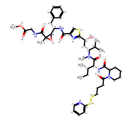 CC[C@H](C)[C@@H](NC(=O)C1CCCCN1C(=O)CCCSSc1ccccn1)C(=O)N(C)[C@H](C[C@@H](O)c1nc(C(=O)N[C@@H](Cc2ccccc2)C2OC2(C)C(=O)NCC(=O)OC)cs1)C(C)C